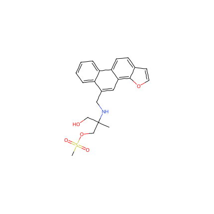 CC(CO)(COS(C)(=O)=O)NCc1cc2c(ccc3ccoc32)c2ccccc12